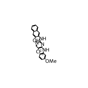 COc1cccc(Nc2nc(Nc3cc4ccccc4cc3O)ncc2C(F)(F)F)c1